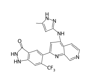 Cc1cc(Nc2cc(-c3cc4c(=O)[nH][nH]c4cc3C(F)(F)F)nc3cnccc23)n[nH]1